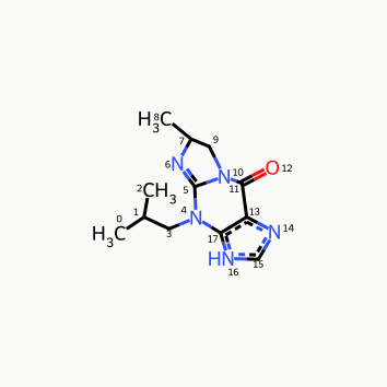 CC(C)CN1C2=NC(C)CN2C(=O)c2nc[nH]c21